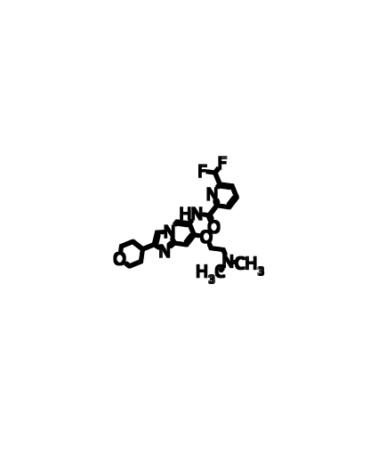 CN(C)CCOc1cc2nc(C3CCOCC3)cn2cc1NC(=O)c1cccc(C(F)F)n1